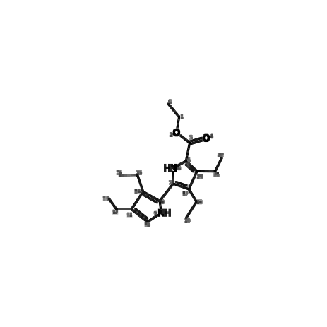 CCOC(=O)c1[nH]c(-c2[nH]cc(CC)c2CC)c(CC)c1CC